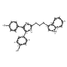 Fc1ccc(-c2nc(CCCc3c[nH]c4ccccc34)oc2-c2ccc(F)cc2)cc1